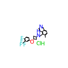 Cc1ccc2cnccc2c1CNC1CC(Oc2ccc(F)c(C(F)(F)F)c2)C1.Cl